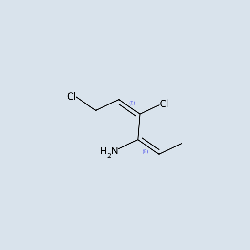 C/C=C(N)\C(Cl)=C/CCl